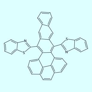 c1ccc2cc3c(-c4nc5ccccc5s4)c4c5cccc6ccc7cccc(c4c(-c4nc8ccccc8s4)c3cc2c1)c7c65